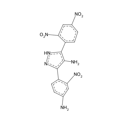 Nc1ccc(-c2n[nH]c(-c3ccc([N+](=O)[O-])cc3[N+](=O)[O-])c2N)c([N+](=O)[O-])c1